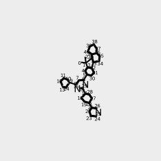 CC1(C)c2cc(-c3cc(-c4ccccc4)nc(-c4ccc(-c5cccnc5)cc4)n3)ccc2-c2ccc3ccccc3c21